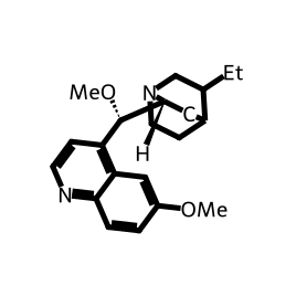 CCC1CN2CCC1C[C@@H]2[C@@H](OC)c1ccnc2ccc(OC)cc12